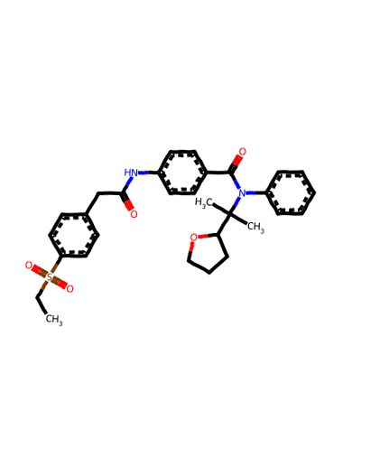 CCS(=O)(=O)c1ccc(CC(=O)Nc2ccc(C(=O)N(c3ccccc3)C(C)(C)C3CCCO3)cc2)cc1